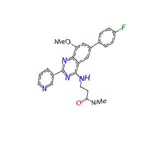 CNC(=O)CCNc1nc(-c2cccnc2)nc2c(OC)cc(-c3ccc(F)cc3)cc12